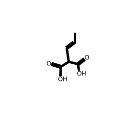 CC=CC(C(=O)O)C(=O)O